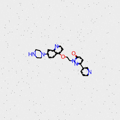 O=c1ccc(-c2cccnc2)nn1CCOc1ccnc2cc(N3CCNCC3)ccc12